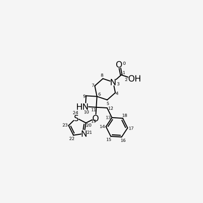 O=C(O)N1CCC2(CC1)CNC2(Cc1ccccc1)Oc1nccs1